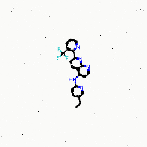 CCc1ccc(Nc2ccnc3nc(-c4ncccc4C(F)(F)F)ccc23)nc1